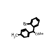 COC(c1ccc(C)cc1)c1ccccc1Br